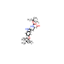 CC(C)(C)OC(=O)N[C@H](CO)Cc1c[nH]c2ccc(O[Si](C)(C)C(C)(C)C)cc12